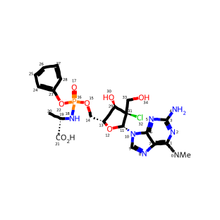 CNc1nc(N)nc2c1ncn2[C@@H]1O[C@H](COP(=O)(N[C@@H](C)C(=O)O)Oc2ccccc2)[C@@H](O)[C@]1(Cl)CO